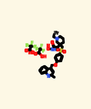 Cc1cc(COc2ccc(S(=O)(=O)CC3(CC(=O)NO)CCCN(CC(C)C)C3)cc2)c2ccccc2n1.O=C(O)C(F)(F)F.O=C(O)C(F)(F)F